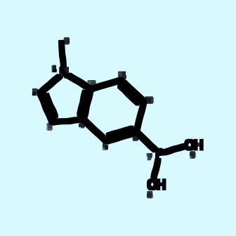 Cn1ccc2cc(P(O)O)ccc21